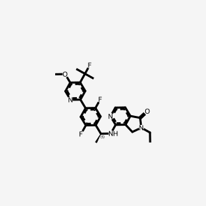 CCN1Cc2c(ccnc2N[C@@H](C)c2cc(F)c(-c3cc(C(C)(C)F)c(OC)cn3)cc2F)C1=O